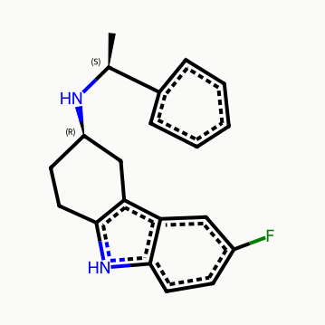 C[C@H](N[C@@H]1CCc2[nH]c3ccc(F)cc3c2C1)c1ccccc1